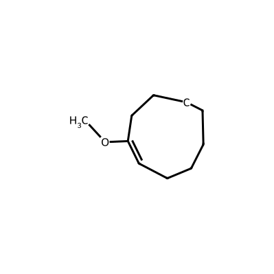 CO/C1=C/CCCCCCC1